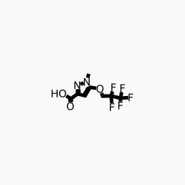 Cn1nc(C(=O)O)cc1OCC(F)(F)C(F)(F)F